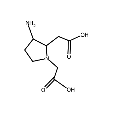 NC1CCN(CC(=O)O)C1CC(=O)O